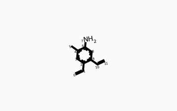 C=Cc1cc(C)c(N)cc1C=C